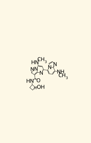 CNc1ccc(-c2cc(NC)n3ncc(C(=O)NC4CC[C@@H]4O)c3n2)n2ccnc12